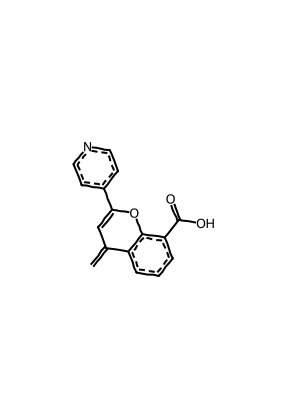 C=C1C=C(c2ccncc2)Oc2c1cccc2C(=O)O